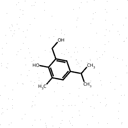 C[C](C)c1cc(C)c(O)c(CO)c1